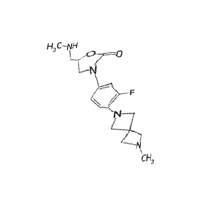 CNCC1CN(c2ccc(N3CC4(CN(C)C4)C3)c(F)c2)C(=O)O1